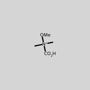 CO[N+](C)(C)C(=O)O